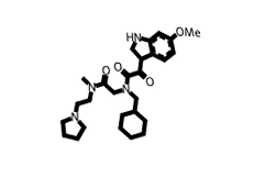 COc1ccc2c(c1)NCC2C(=O)C(=O)N(CC(=O)N(C)CCN1CCCC1)CC1CCCCC1